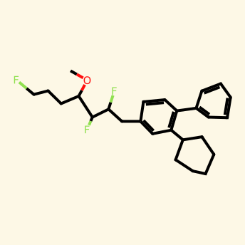 COC(CCCF)C(F)C(F)Cc1ccc(-c2ccccc2)c(C2CCCCC2)c1